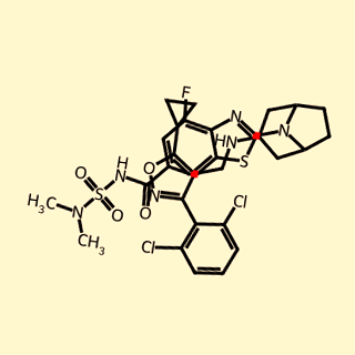 CN(C)S(=O)(=O)NC(=O)c1cc(F)c2nc(N3C4CCC3CC(NCc3c(-c5c(Cl)cccc5Cl)noc3C3CC3)C4)sc2c1